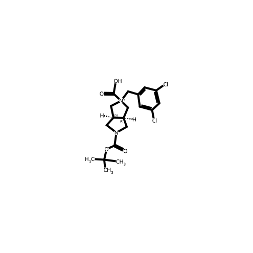 CC(C)(C)OC(=O)N1C[C@@H]2C[N+](Cc3cc(Cl)cc(Cl)c3)(C(=O)O)C[C@@H]2C1